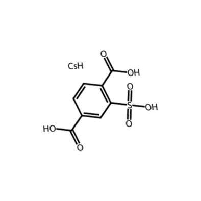 O=C(O)c1ccc(C(=O)O)c(S(=O)(=O)O)c1.[CsH]